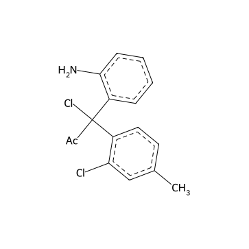 CC(=O)C(Cl)(c1ccccc1N)c1ccc(C)cc1Cl